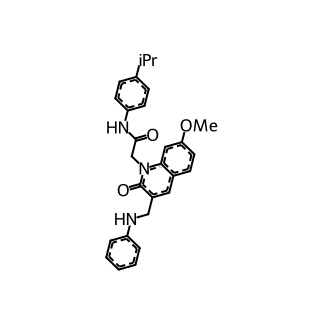 COc1ccc2cc(CNc3ccccc3)c(=O)n(CC(=O)Nc3ccc(C(C)C)cc3)c2c1